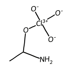 CC(N)O[Cl+3]([O-])([O-])[O-]